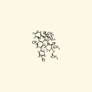 C=CC[C@@]1(C)C[C@H](c2cccc(Cl)c2)C(c2ccc(Cl)cc2)N(C(CN(c2ccccn2)S(C)(=O)=O)C2CC2)C1=O